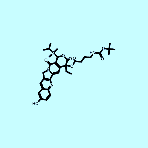 CCC1(OC(=O)CCCNC(=O)OC(C)(C)C)C(=O)OC([Si](C)(C)C(C)C)c2c1cc1n(c2=O)Cc2cc3cc(O)ccc3nc2-1